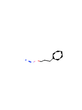 [N-]=[N+]=NOCCCc1ccccc1